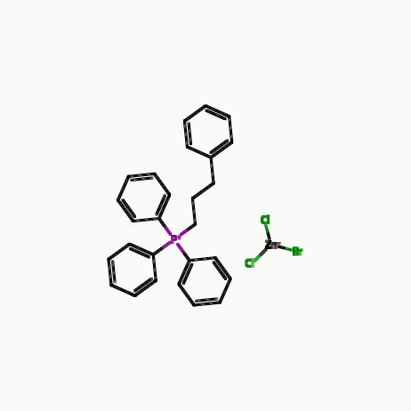 [Cl][Zn-]([Cl])[Br].c1ccc(CCC[P+](c2ccccc2)(c2ccccc2)c2ccccc2)cc1